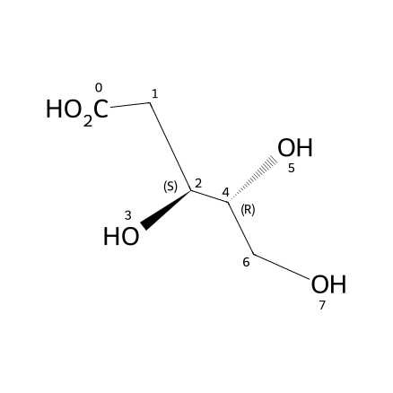 O=C(O)C[C@H](O)[C@H](O)CO